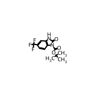 CC(C)(C)OC(=O)n1c(=O)[nH]c2cc(C(F)(F)F)ccc21